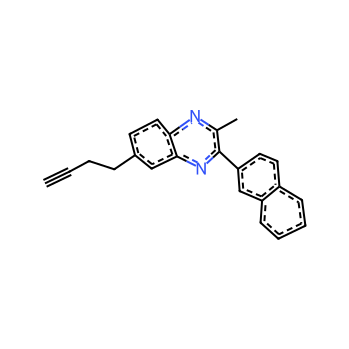 C#CCCc1ccc2nc(C)c(-c3ccc4ccccc4c3)nc2c1